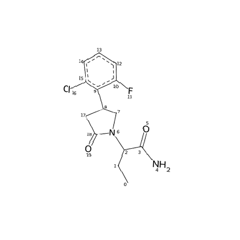 CCC(C(N)=O)N1CC(c2c(F)cccc2Cl)CC1=O